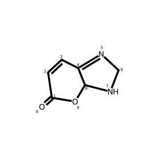 O=C1C=CC2=NCNC2O1